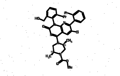 CC(C)c1ccccc1-c1nc2c(cc1Cl)c(N1C[C@H](C)N(C(=O)OC(C)(C)C)C[C@@H]1C)nc(=O)n2-c1c(CO)cccc1C(C)C